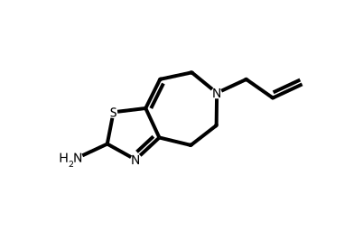 C=CCN1CC=C2SC(N)N=C2CC1